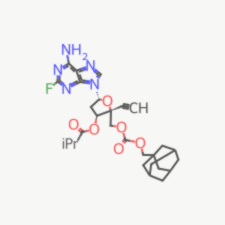 C#C[C@]1(COC(=O)OCC23CC4CC(CC(C4)C2)C3)O[C@@H](n2cnc3c(N)nc(F)nc32)C[C@@H]1OC(=O)C(C)C